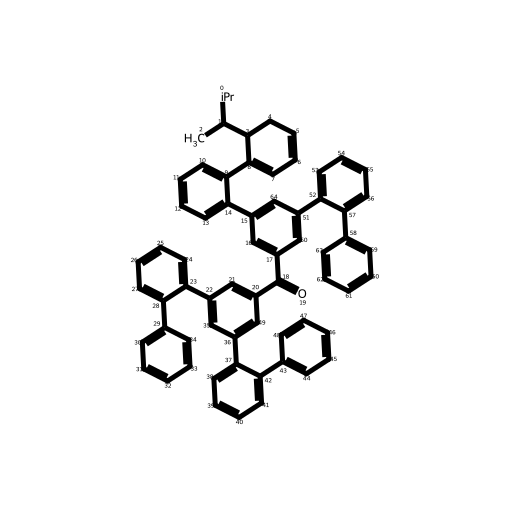 CC(C)C(C)C1CC=CC=C1c1ccccc1-c1cc(C(=O)c2cc(-c3ccccc3-c3ccccc3)cc(-c3ccccc3-c3ccccc3)c2)cc(-c2ccccc2-c2ccccc2)c1